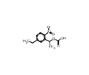 CCc1ccc([N+](=O)[O-])c(C(C)OC(=O)O)c1